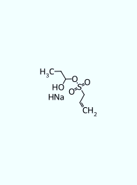 C=CCS(=O)(=O)OC(O)CC.[NaH]